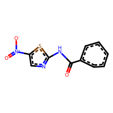 O=C(Nc1ncc([N+](=O)[O-])s1)c1ccccc1